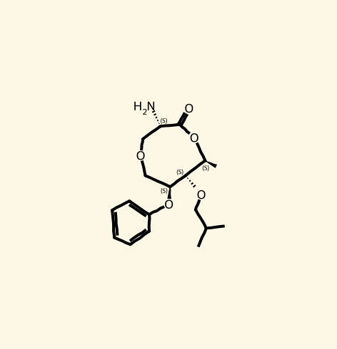 CC(C)CO[C@H]1[C@H](C)OC(=O)[C@@H](N)COC[C@@H]1Oc1ccccc1